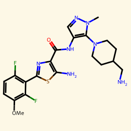 COc1ccc(F)c(-c2nc(C(=O)Nc3cnn(C)c3N3CCC(CN)CC3)c(N)s2)c1F